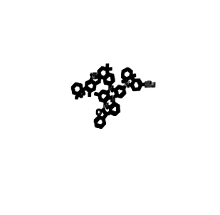 CC1=C(C2(C)CCCCC2(C)C)C=C(C(C)(C)C)C(CC2(C)CCC(C)(C)c3ccc(N4C5=CC(C)CC6=C5B(c5ccc(N7C8CCC(C(C)(C)C)=CC8C8(C)CCCCC78C)cc54)c4cccc5c4N6C4OC6=CC=CCC6C54)cc32)C1